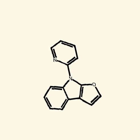 c1ccc(-n2c3ccccc3c3ccoc32)nc1